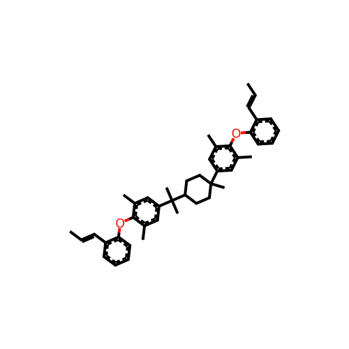 CC=Cc1ccccc1Oc1c(C)cc(C2(C)CCC(C(C)(C)c3cc(C)c(Oc4ccccc4C=CC)c(C)c3)CC2)cc1C